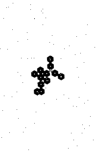 C1=CCCC(c2ccc(N(c3ccc(-c4ccccc4)cc3)c3ccc4c(c3)c3ccccc3c3c(-c5ccccc5)cc(-c5ccc(-c6cccc7ccccc67)cc5)c(-c5ccccc5)c43)cc2)=C1